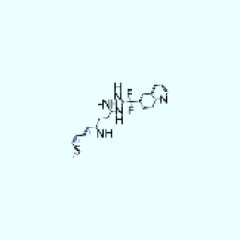 CNC(CCC(=N)/C=C/C=C\SC)NC(=N)C(F)(F)c1ccc2ncccc2c1